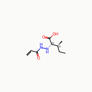 C=CC(=O)NN[C@H](C(=O)O)[C@@H](C)CC